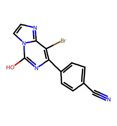 N#Cc1ccc(-c2nc(O)n3ccnc3c2Br)cc1